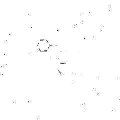 O=C(O)/C=C\C(=O)NC(Cc1ccccc1)C(=O)O